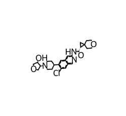 O=C(Nc1cc2cc(C3CCN([C@H]4COC[C@H]4O)CC3)c(Cl)cc2cn1)[C@@H]1CC12CCOCC2